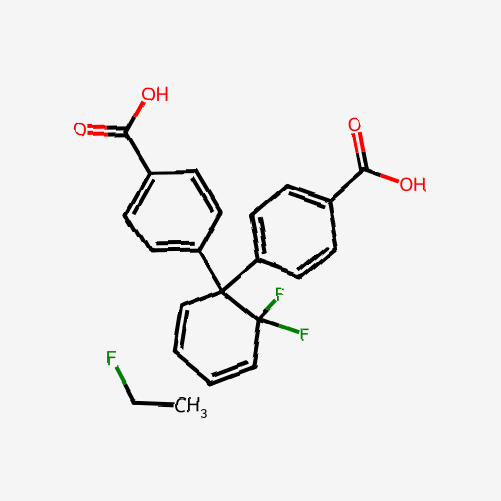 CCF.O=C(O)c1ccc(C2(c3ccc(C(=O)O)cc3)C=CC=CC2(F)F)cc1